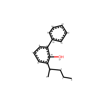 CCCC(C)c1cccc(-c2ccccc2)c1O